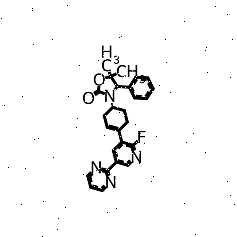 CC1(C)OC(=O)N([C@H]2CC=C(c3cc(-c4ncccn4)cnc3F)CC2)C1c1ccccc1